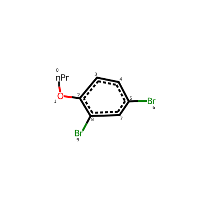 [CH2]CCOc1ccc(Br)cc1Br